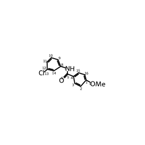 COc1ccc(C(=O)Nc2cccc(Cl)c2)cc1